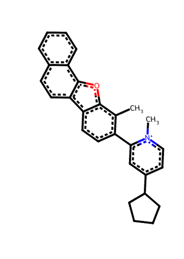 Cc1c(-c2cc(C3CCCC3)cc[n+]2C)ccc2c1oc1c3ccccc3ccc21